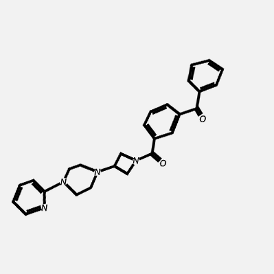 O=C(c1ccccc1)c1cccc(C(=O)N2CC(N3CCN(c4ccccn4)CC3)C2)c1